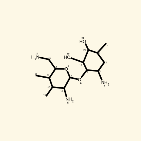 CC1CC(N)C(OC2OC(CN)C(C)C(C)C2N)C(O)C1O